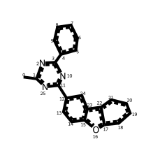 Cc1nc(-c2ccccc2)nc(-c2ccc3oc4ccccc4c3c2)n1